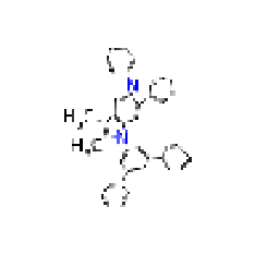 Cc1c(C)n(-c2cc(-c3ccccc3)cc(-c3ccccc3)c2)c2cc3c4ccccc4n(-c4ccccc4)c3cc12